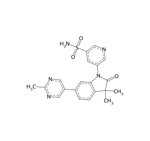 Cc1ncc(-c2ccc3c(c2)N(c2cncc(S(N)(=O)=O)c2)C(=O)C3(C)C)cn1